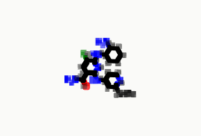 CC(=O)Nc1cc(Nc2nc(NC3CCCCC3N)c(F)cc2C(N)=O)ccn1